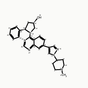 CN1CCC(n2cc(-c3ccc4c(N5C[C@H](O)C[C@@H]5c5ccccc5)ncnc4c3)cn2)CC1